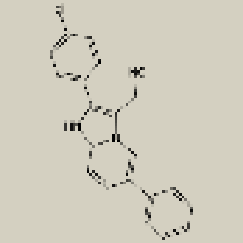 O=NCC1=C(c2ccc(Cl)cc2)NC2C=CC(c3ccccc3)=CN12